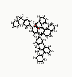 CC1(C)c2ccccc2-c2cc(-c3ccc(N(c4ccc5c(c4)-c4cccc(C6CCCCC6)c4C5(C)C)c4ccc5ccccc5c4-c4cccc5ccccc45)cc3)ccc21